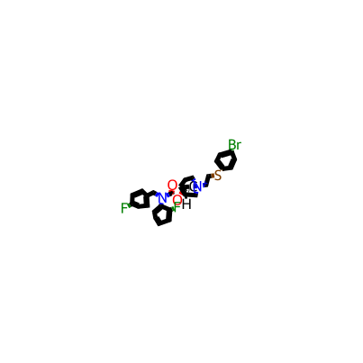 O=C(O[C@H]1C[N+]2(CCSc3ccc(Br)cc3)CCC1CC2)N(Cc1ccc(F)cc1)c1ccccc1F